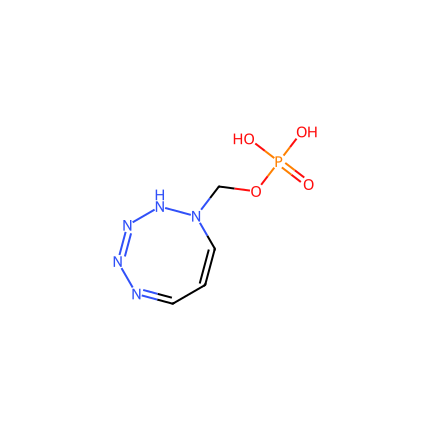 O=P(O)(O)OCn1cccnnn[nH]1